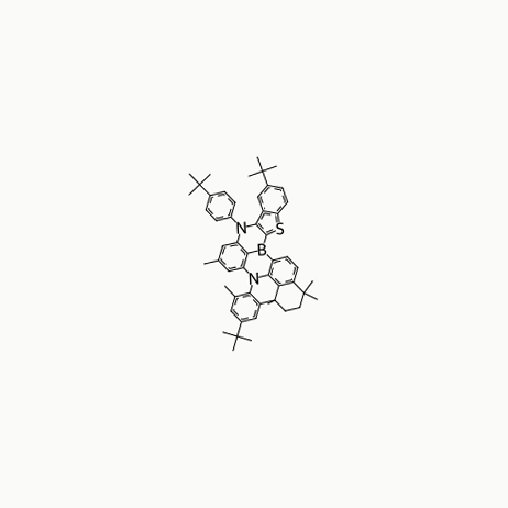 Cc1cc2c3c(c1)N(c1ccc(C(C)(C)C)cc1)c1c(sc4ccc(C(C)(C)C)cc14)B3c1ccc3c4c1N2c1c(C)cc(C(C)(C)C)cc1C4(C)CCC3(C)C